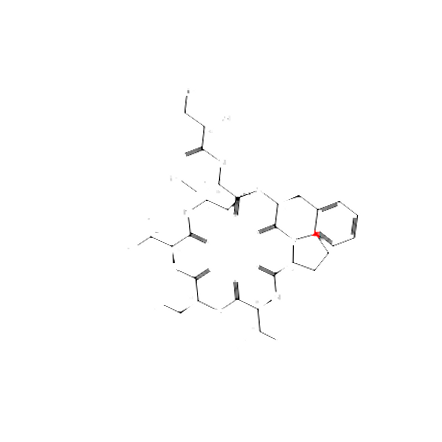 CC(C)C[C@H](NC(=O)[C@@H](NC(=O)[C@H](CC(=O)O)NC(=O)[C@@H](NC(=O)[C@@H]1CCCN1C(=O)[C@H](Cc1ccccc1)NC(=O)[C@H](CC(C)C)NC(=O)[C@@H](N)CC(C)C)[C@@H](C)O)[C@@H](C)O)C(=O)O